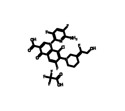 Nc1nc(-n2cc(C(=O)O)c(=O)c3cc(F)c(N4CCC/C(=C(/F)CO)C4)c(Cl)c32)c(F)cc1F.O=C(O)C(F)(F)F